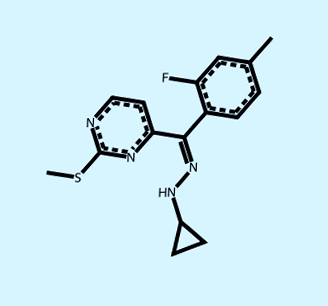 CSc1nccc(/C(=N\NC2CC2)c2ccc(C)cc2F)n1